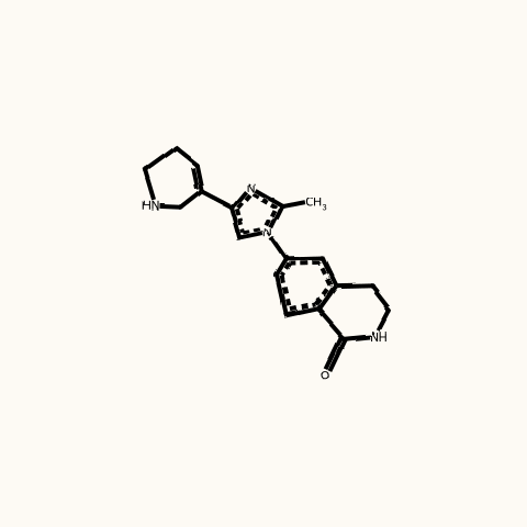 Cc1nc(C2=CCCNC2)cn1-c1ccc2c(c1)CCNC2=O